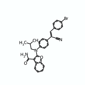 CC(C)CN(c1ccc(/C(C#N)=C/c2ccc(Br)cc2)cc1)c1oc2ccccc2c1C(N)=O